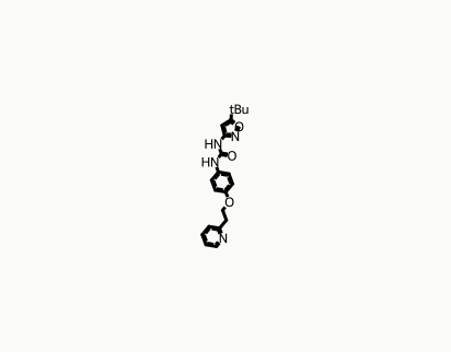 CC(C)(C)c1cc(NC(=O)Nc2ccc(OCCc3ccccn3)cc2)no1